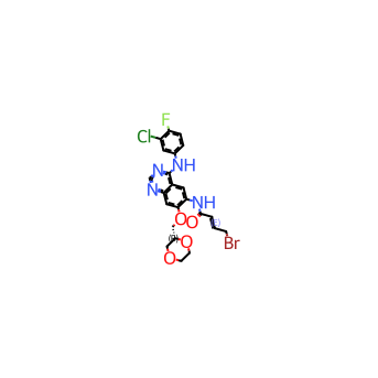 O=C(/C=C/CBr)Nc1cc2c(Nc3ccc(F)c(Cl)c3)ncnc2cc1OC[C@H]1COCCO1